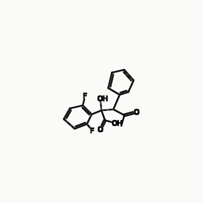 CC(=O)C(c1ccccc1)C(O)(C(=O)O)c1c(F)cccc1F